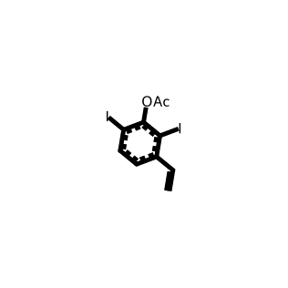 C=Cc1ccc(I)c(OC(C)=O)c1I